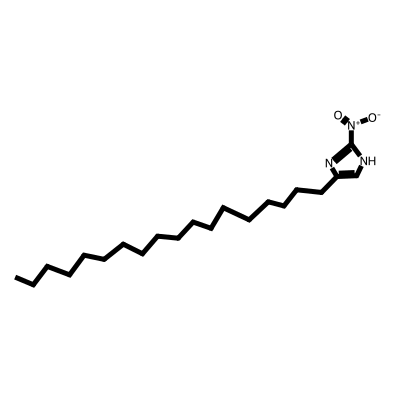 CCCCCCCCCCCCCCCCCCc1c[nH]c([N+](=O)[O-])n1